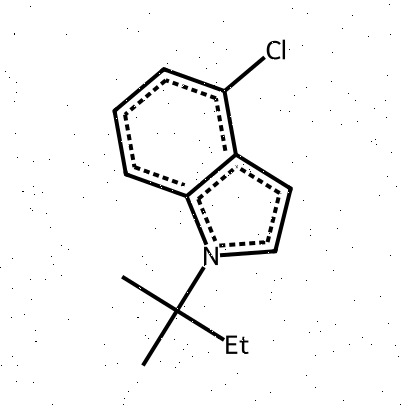 CCC(C)(C)n1ccc2c(Cl)cccc21